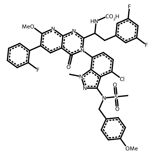 COc1ccc(CN(c2nn(C)c3c(-n4c(C(Cc5cc(F)cc(F)c5)NC(=O)O)nc5nc(OC)c(-c6ccccc6F)cc5c4=O)ccc(Cl)c23)S(C)(=O)=O)cc1